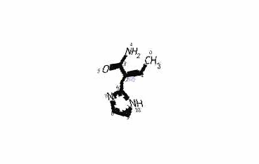 C/C=C(\C(N)=O)c1ncc[nH]1